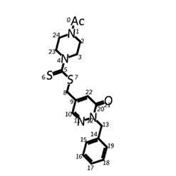 CC(=O)N1CCN(C(=S)SCc2cnn(Cc3ccccc3)c(=O)c2)CC1